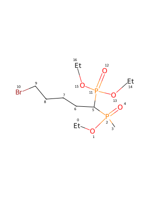 CCOP(C)(=O)C(CCCCBr)P(=O)(OCC)OCC